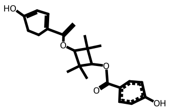 C=C(OC1C(C)(C)C(OC(=O)c2ccc(O)cc2)C1(C)C)C1=CC=C(O)CC1